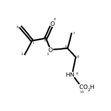 C=C(C)C(=O)OC(C)CNC(=O)O